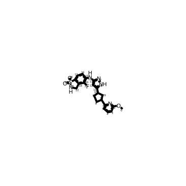 COc1cccc(C2CCC(c3cc(Nc4ccc5c(c4F)CNS5(=O)=O)n[nH]3)C2)n1